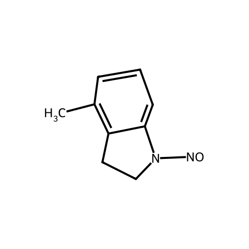 Cc1cccc2c1CCN2N=O